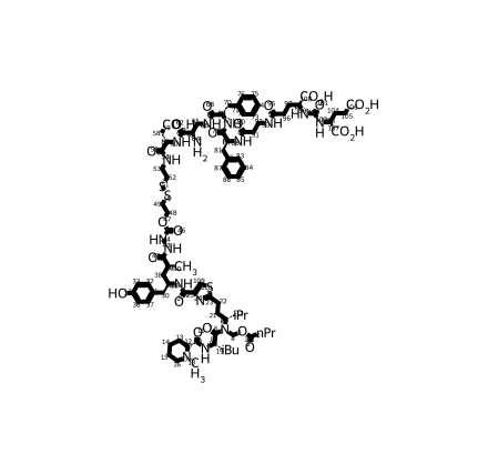 CCCC(=O)OCN(C(=O)[C@@H](NC(=O)[C@H]1CCCCN1C)C(C)CC)[C@H](CCc1nc(C(=O)N[C@@H](Cc2ccc(O)cc2)C[C@H](C)C(=O)NNC(=O)OCCSSCCNC(=O)[C@H](CC(=O)O)NC(=O)[C@@H](N)CNC(=O)[C@H](Cc2ccccc2)NC(=O)[C@H](Cc2ccccc2)NC(=O)CCNC(=O)CC[C@H](NC(=O)N[C@@H](CCC(=O)O)C(=O)O)C(=O)O)cs1)C(C)C